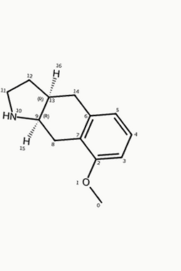 COc1cccc2c1C[C@H]1NCC[C@H]1C2